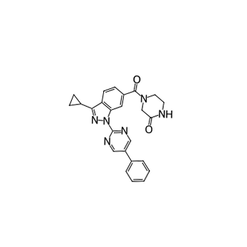 O=C1CN(C(=O)c2ccc3c(C4CC4)nn(-c4ncc(-c5ccccc5)cn4)c3c2)CCN1